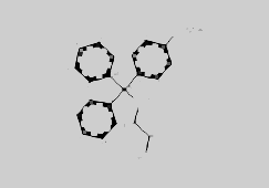 COc1ccc(C(OCCCl)(c2ccccc2)c2ccccc2)cc1